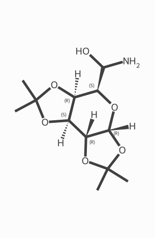 CC1(C)O[C@H]2[C@@H](O1)[C@@H](C(N)O)O[C@@H]1OC(C)(C)O[C@@H]12